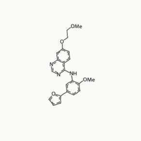 COCCOc1ccc2c(Nc3cc(-c4ccco4)ccc3OC)ncnc2c1